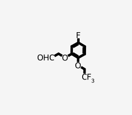 O=CCOc1cc(F)ccc1OCC(F)(F)F